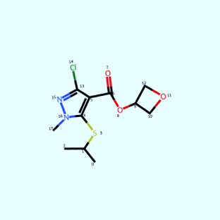 CC(C)Sc1c(C(=O)OC2COC2)c(Cl)nn1C